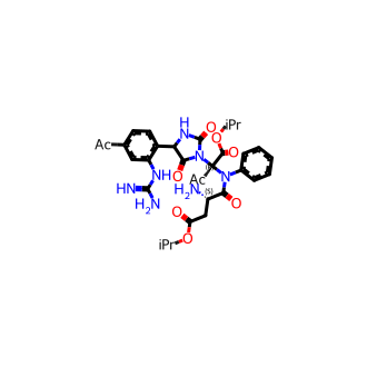 CC(=O)c1ccc(C2NC(=O)N([C@](C(C)=O)(C(=O)OC(C)C)N(C(=O)[C@@H](N)CC(=O)OC(C)C)c3ccccc3)C2=O)c(NC(=N)N)c1